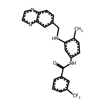 Cc1ccc(NC(=O)c2cccc(C(F)(F)F)c2)cc1NCc1ccc2nccnc2c1